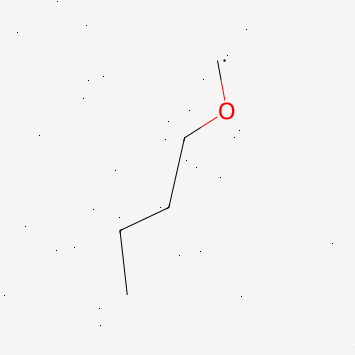 [CH2]OCCCC